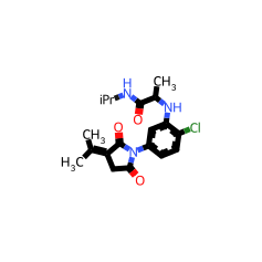 CC(C)=C1CC(=O)N(c2ccc(Cl)c(NC(C)C(=O)NC(C)C)c2)C1=O